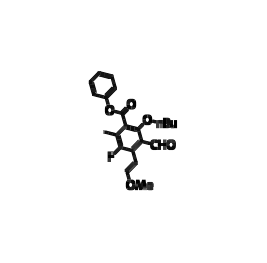 CCCCOc1c(C=O)c(C=COC)c(F)c(C)c1C(=O)Oc1ccccc1